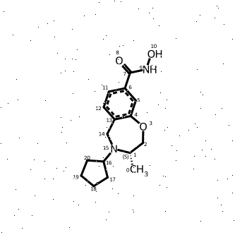 C[C@H]1COc2cc(C(=O)NO)ccc2CN1C1CCCC1